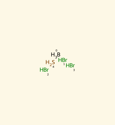 B.Br.Br.Br.S